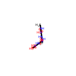 CCCCCNC(=O)CCC(=O)N(O)CCCCCNCC(=O)NOON(CC)C(=O)CCC(=O)NCCCCCN(O)C(=O)CCC(=O)O